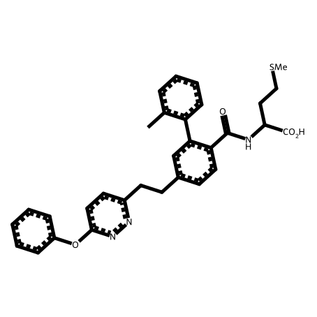 CSCCC(NC(=O)c1ccc(CCc2ccc(Oc3ccccc3)nn2)cc1-c1ccccc1C)C(=O)O